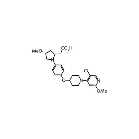 COc1cc(N2CCC(Oc3ccc(N4C[C@H](OC)C[C@@H]4CC(=O)O)cc3)CC2)c(Cl)cn1